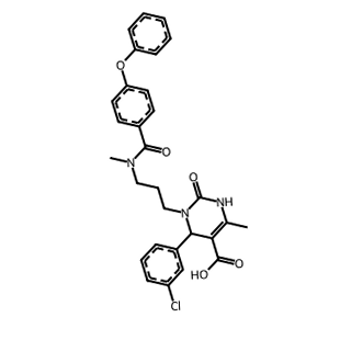 CC1=C(C(=O)O)C(c2cccc(Cl)c2)N(CCCN(C)C(=O)c2ccc(Oc3ccccc3)cc2)C(=O)N1